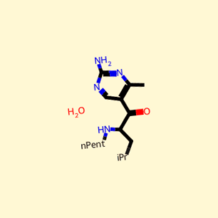 CCCCCNC(CC(C)C)C(=O)c1cnc(N)nc1C.O